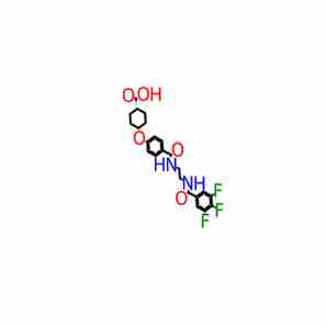 O=C(NCCNC(=O)c1cc(F)c(F)c(F)c1)c1ccc(O[C@H]2CC[C@@H](C(=O)O)CC2)cc1